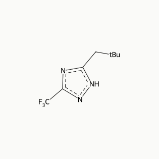 CC(C)(C)Cc1nc(C(F)(F)F)n[nH]1